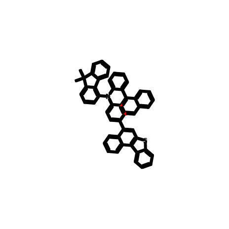 CC1(C)c2ccccc2-c2c(N(c3ccc(-c4cc5sc6ccccc6c5c5ccccc45)cc3)c3ccccc3-c3cccc4ccccc34)cccc21